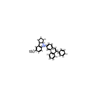 CC(C)(C)c1ccc2c(c1)C1CCCC1N2c1ccc(C=C(c2ccccc2)c2ccccc2)cc1